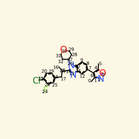 Cc1noc(C)c1-c1ccc2c(c1)nc([C@H](C)Cc1ccc(Cl)c(F)c1)n2C1CCOCC1